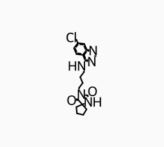 O=C1NC2(CCCC2)C(=O)N1CCCCNc1ncnc2cc(Cl)ccc12